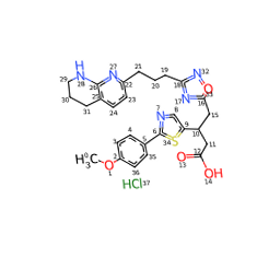 COc1ccc(-c2ncc(C(CC(=O)O)Cc3nc(CCCc4ccc5c(n4)NCCC5)no3)s2)cc1.Cl